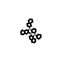 c1ccc(N2c3cccc4c3B(c3cc5ccccc5cc3N4c3ccc4ccccc4c3)c3ccc4ccccc4c32)cc1